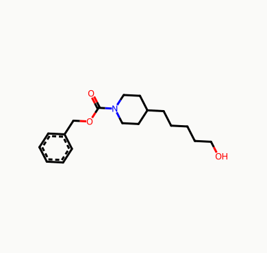 O=C(OCc1ccccc1)N1CCC(CCCCCO)CC1